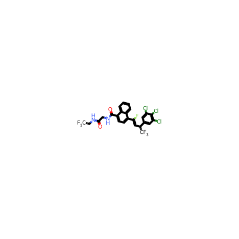 O=C(CNC(=O)c1ccc(/C(F)=C/C(c2cc(Cl)c(Cl)c(Cl)c2)C(F)(F)F)c2ccccc12)NCC(F)(F)F